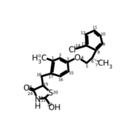 Cc1cc(OC[C@@H](C)c2ccccc2Cl)ccc1CC1SC(O)NC1=O